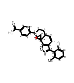 O=C(O)c1ccc(N2CCC(/C=C\c3c(-c4c(Cl)cccc4Cl)noc3C3CC3)CC2)nc1